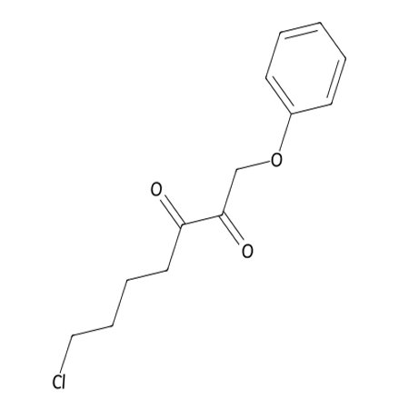 O=C(CCCCCl)C(=O)COc1ccccc1